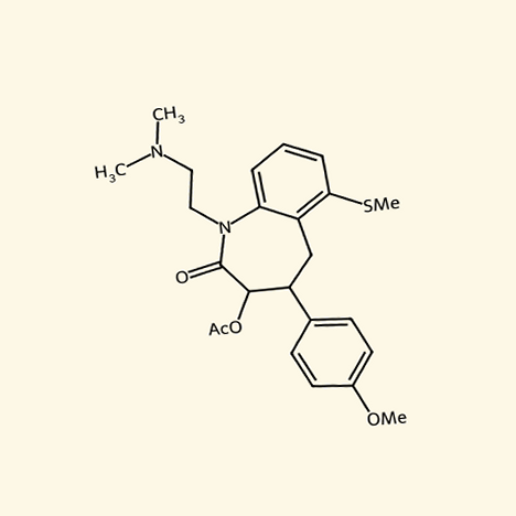 COc1ccc(C2Cc3c(SC)cccc3N(CCN(C)C)C(=O)C2OC(C)=O)cc1